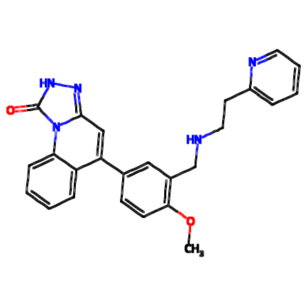 COc1ccc(-c2cc3n[nH]c(=O)n3c3ccccc23)cc1CNCCc1ccccn1